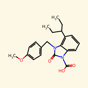 CCC(CC)c1cccc2c1n(Cc1ccc(OC)cc1)c(=O)n2C(=O)O